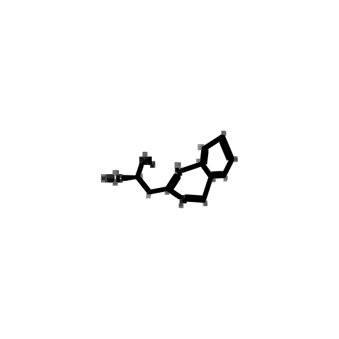 N[C@@H](Cc1ncc2ccccc2n1)C(=O)O